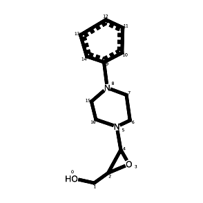 OCC1OC1N1CCN(c2ccccc2)CC1